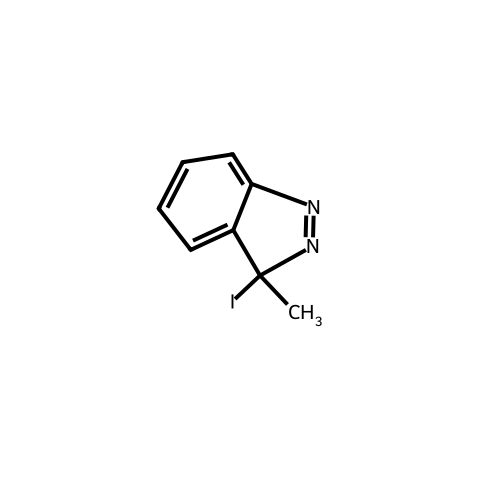 CC1(I)N=Nc2ccccc21